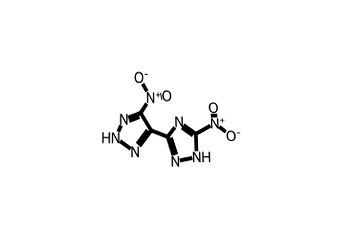 O=[N+]([O-])c1nc(-c2n[nH]nc2[N+](=O)[O-])n[nH]1